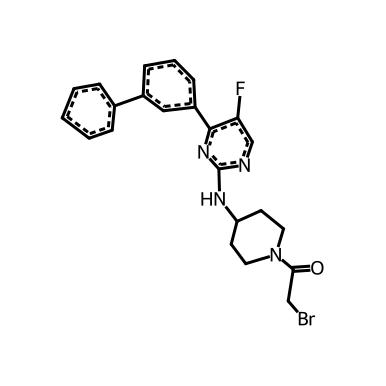 O=C(CBr)N1CCC(Nc2ncc(F)c(-c3cccc(-c4ccccc4)c3)n2)CC1